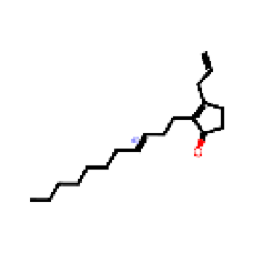 C=CCC1=C(CC/C=C/CCCCCCC)C(=O)CC1